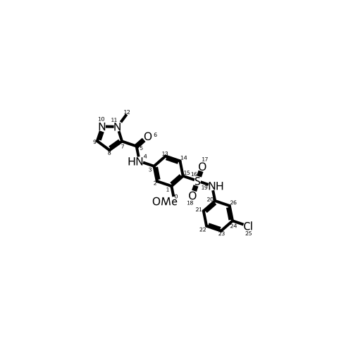 COc1cc(NC(=O)c2ccnn2C)ccc1S(=O)(=O)Nc1cccc(Cl)c1